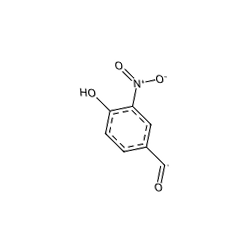 O=[C]c1ccc(O)c([N+](=O)[O-])c1